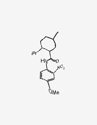 COc1ccc(NC(=O)C2CC(C)CCC2C(C)C)c([N+](=O)[O-])c1